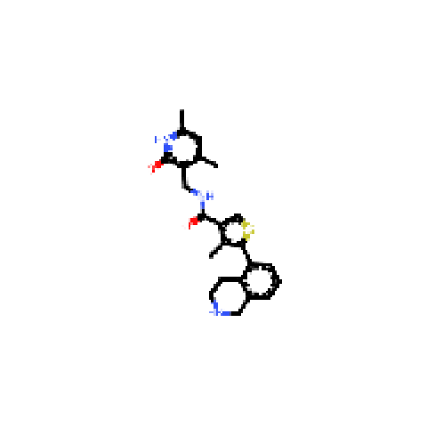 Cc1cc(C)c(CNC(=O)c2csc(-c3cccc4c3CCNC4)c2C)c(=O)[nH]1